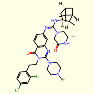 CCN1CCN(c2nc3cc(N=C(N[C@H]4C[C@H]5C[C@H]([C@H]4C)C5(C)C)N4CC(=O)N[C@@H](C)C4)ccc3c(=O)n2CCc2ccc(Cl)cc2Cl)CC1